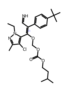 CCn1nc(C)c(Cl)c1/C(OCOC(=O)OCCC(C)C)=C(\C=N)c1ccc(C(C)(C)C)cc1